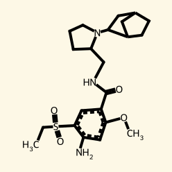 CCS(=O)(=O)c1cc(C(=O)NCC2CCCN2C2CC3CCC2C3)c(OC)cc1N